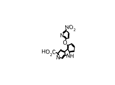 O=C(O)c1cc2c(cn1)[nH]c1cccc(Oc3ccc([N+](=O)[O-])cn3)c12